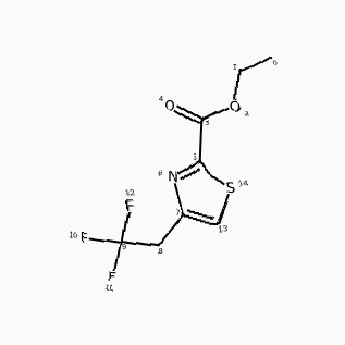 CCOC(=O)c1nc(CC(F)(F)F)cs1